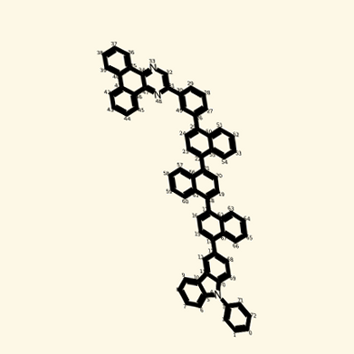 c1ccc(-n2c3ccccc3c3cc(-c4ccc(-c5ccc(-c6ccc(-c7cccc(-c8cnc9c%10ccccc%10c%10ccccc%10c9n8)c7)c7ccccc67)c6ccccc56)c5ccccc45)ccc32)cc1